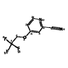 N#Cc1cc(OCC(F)(F)F)ccn1